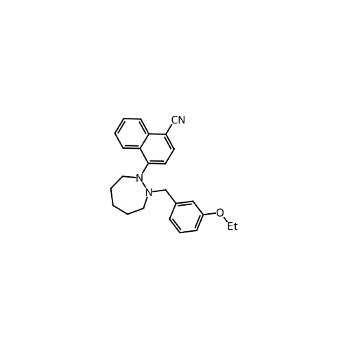 CCOc1cccc(CN2CCCCCN2c2ccc(C#N)c3ccccc23)c1